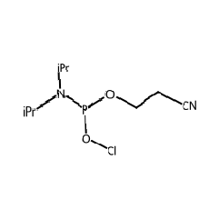 CC(C)N(C(C)C)P(OCl)OCCC#N